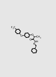 CC(Oc1ccc(Oc2ccc(C(F)(F)F)cc2)cc1)C(=O)NN=Cc1ccccc1